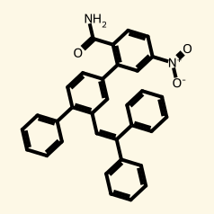 NC(=O)c1ccc([N+](=O)[O-])cc1-c1ccc(-c2ccccc2)c(C=C(c2ccccc2)c2ccccc2)c1